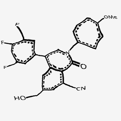 COc1ccc(-n2cc(-c3cc(F)c(F)c(F)c3)c3cc(CO)cc(C#N)c3c2=O)cc1